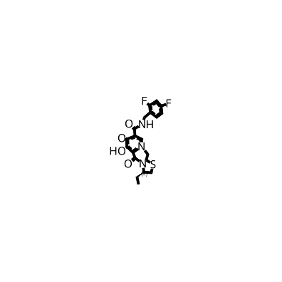 CC[C@@H]1CSC2Cn3cc(C(=O)NCc4ccc(F)cc4F)c(=O)c(O)c3C(=O)N21